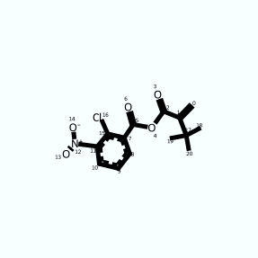 C=C(C(=O)OC(=O)c1cccc([N+](=O)[O-])c1Cl)C(C)(C)C